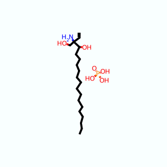 C=CC(N)(CO)C(O)CCCCCCCCCCCCCCC.O=P(O)(O)O